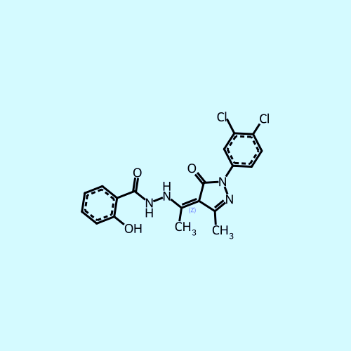 CC1=NN(c2ccc(Cl)c(Cl)c2)C(=O)/C1=C(/C)NNC(=O)c1ccccc1O